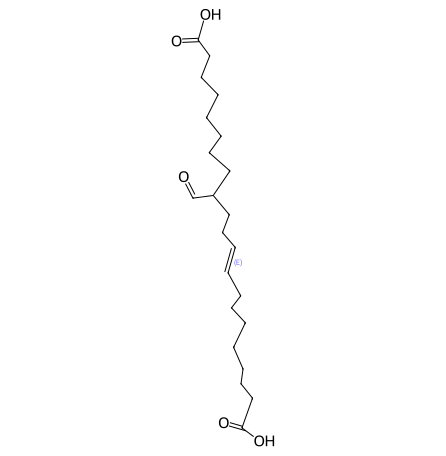 O=CC(CC/C=C/CCCCCCCC(=O)O)CCCCCCCC(=O)O